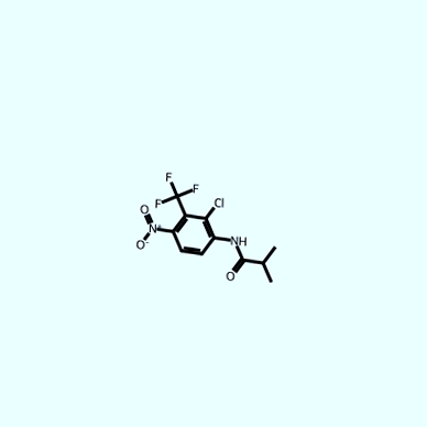 CC(C)C(=O)Nc1ccc([N+](=O)[O-])c(C(F)(F)F)c1Cl